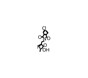 CC1=NC=C(CCN2C(=O)c3ccc(Cl)cc3C2=O)C(=O)C1O